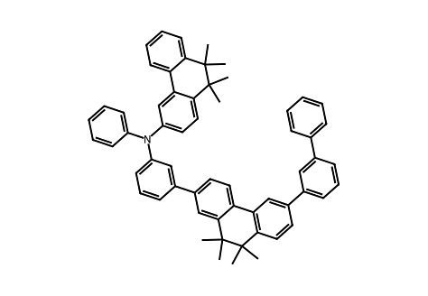 CC1(C)c2ccccc2-c2cc(N(c3ccccc3)c3cccc(-c4ccc5c(c4)C(C)(C)C(C)(C)c4ccc(-c6cccc(-c7ccccc7)c6)cc4-5)c3)ccc2C1(C)C